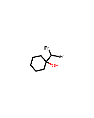 CC(C)C(C(C)C)C1(O)CCCCC1